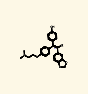 CC/C(=C(\c1ccc(O)cc1)c1ccc(OCCN(C)C)cc1)c1ccc2c(c1)OCO2